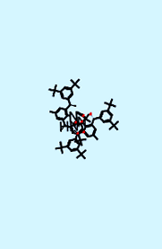 Cc1cc([C@H](C)c2cc(C(C)(C)C)cc(C(C)(C)C)c2)c(-n2ccn(-c3c([C@H](C)c4cc(C(C)(C)C)cc(C(C)(C)C)c4)cc(C)cc3[C@H](C)c3cc(C(C)(C)C)cc(C(C)(C)C)c3)c2=N)c([C@H](C)c2cc(C(C)(C)C)cc(C(C)(C)C)c2)c1